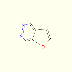 [c]1cc2cnncc2o1